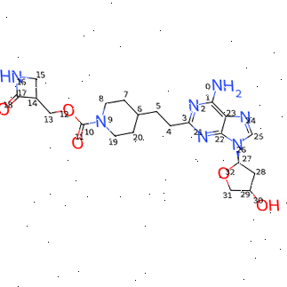 Nc1nc(CCC2CCN(C(=O)OCC3CNC3=O)CC2)nc2c1ncn2[C@H]1CC(O)CO1